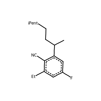 CCCC(C)CCC(C)c1cc(F)cc(CC)c1C#N